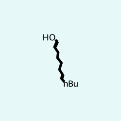 CCCCC=CCCCCC=CO